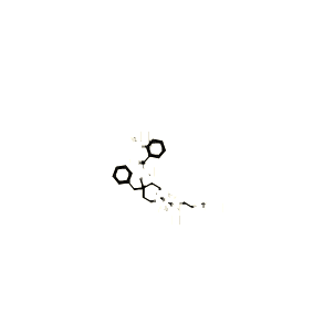 COCCNS(=O)(=O)N1CCC(CNC(=O)c2ccccc2OC)(Cc2ccccc2)CC1